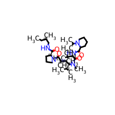 CC[C@H](C)CNC(=O)[C@@H]1CCCN1C(=O)/C(C)=C/[C@H](C(C)C)N(C)C(=O)[C@@H](NC(=O)C1CCCCN1C(C)C)C(C)(C)C